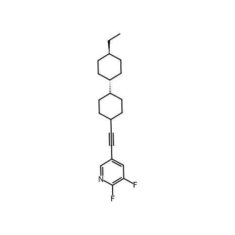 CC[C@H]1CC[C@H](C2CCC(C#Cc3cnc(F)c(F)c3)CC2)CC1